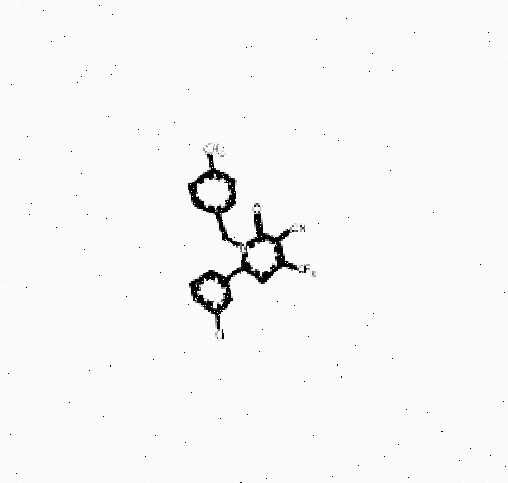 Cc1ccc(Cn2c(-c3cccc(Cl)c3)cc(C(F)(F)F)c(C#N)c2=O)cc1